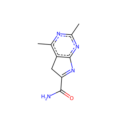 Cc1nc(C)c2c(n1)N=C(C(N)=O)C2